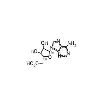 Nc1ncnc2c1ncn2[C@@H]1O[C@H](CC(=O)O)C(O)C1O